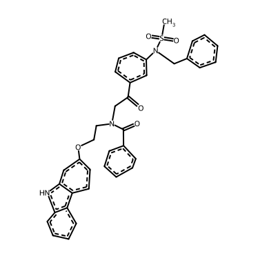 CS(=O)(=O)N(Cc1ccccc1)c1cccc(C(=O)CN(CCOc2ccc3c(c2)[nH]c2ccccc23)C(=O)c2ccccc2)c1